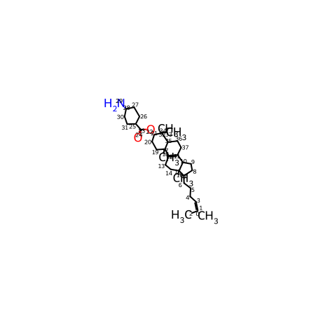 CC(C)=CCCCC1CCC2C3=C(CCC12C)C1(C)CCC(OC(=O)C2CCC(N)CC2)C(C)(C)C1CC3